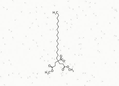 CCCCCCCCCCCCCCCCCC(CCC(=O)OC)(CCC(=O)OC)[N+](=O)[O-]